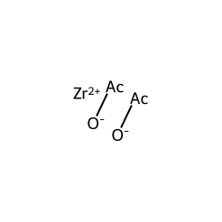 CC(=O)[O-].CC(=O)[O-].[Zr+2]